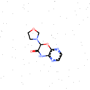 O=C1Nc2nccnc2OC1N1CCOC1